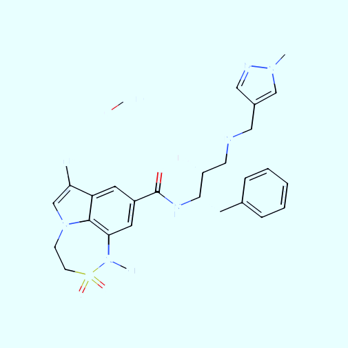 CCCc1cn2c3c(cc(C(=O)N[C@@H](Cc4ccccc4)[C@H](O)CNCc4cnn(CC)c4)cc13)N(C)S(=O)(=O)CC2.O=CO